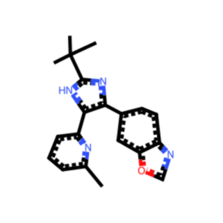 Cc1cccc(-c2[nH]c(C(C)(C)C)nc2-c2ccc3ncoc3c2)n1